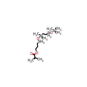 C=C(C)C(=O)OCCC[SiH2]O[Si](C)(C)CC[SiH2]O[Si](C)(C)C